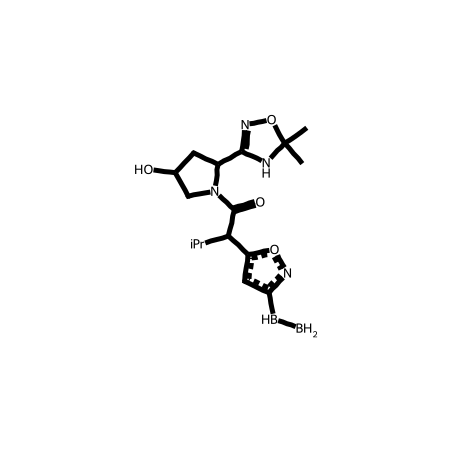 BBc1cc(C(C(=O)N2CC(O)CC2C2=NOC(C)(C)N2)C(C)C)on1